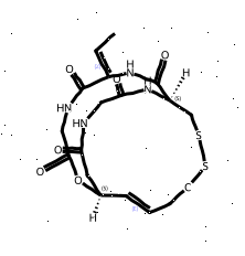 C/C=C1\NC(=O)[C@H]2CSSCC/C=C/[C@H](CC(=O)NCC(=O)N2)OC(=O)CNC1=O